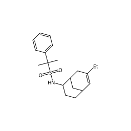 CCC1=CC2CCC(NS(=O)(=O)C(C)(C)c3ccccc3)C(C1)C2